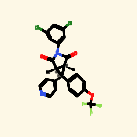 C[C@@]12C(=O)N(c3cc(Cl)cc(Cl)c3)C(=O)[C@@H]1[C@]2(c1ccncc1)c1ccc(OC(F)(F)F)cc1